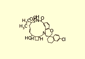 C[C@@H]1[C@@H](C)/C=C/[C@H](O)[C@@H]2CC[C@H]2CN2C[C@@]3(CCCc4cc(Cl)ccc43)COc3ccc(cc32)C(=O)NS1(=O)=O